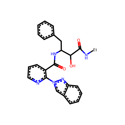 CCNC(=O)C(O)C(Cc1ccccc1)NC(=O)c1cccnc1-n1cc2ccccc2n1